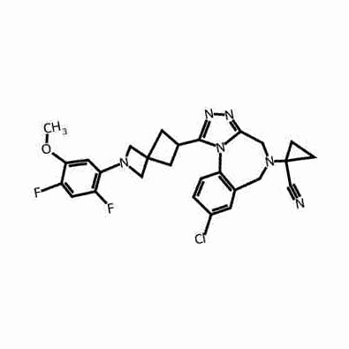 COc1cc(N2CC3(CC(c4nnc5n4-c4ccc(Cl)cc4CN(C4(C#N)CC4)C5)C3)C2)c(F)cc1F